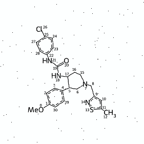 COc1ccc(C2CN(Cc3cc(C)sn3)CCC2NC(=O)Nc2ccc(Cl)cc2)cc1